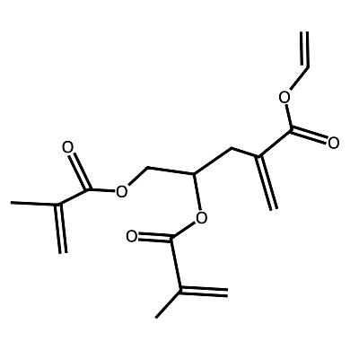 C=COC(=O)C(=C)CC(COC(=O)C(=C)C)OC(=O)C(=C)C